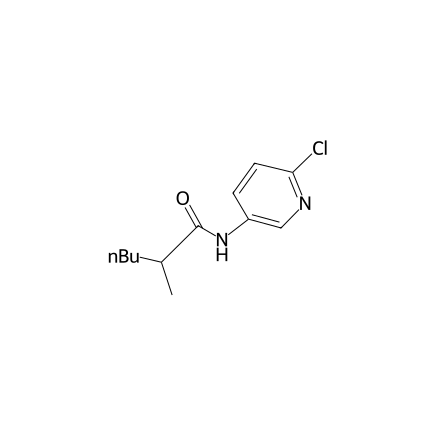 CCCCC(C)C(=O)Nc1ccc(Cl)nc1